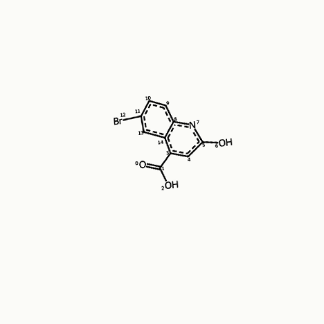 O=C(O)c1cc(O)nc2ccc(Br)cc12